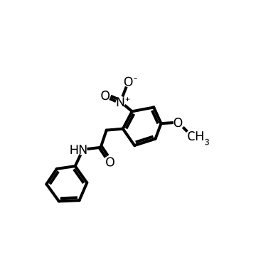 COc1ccc(CC(=O)Nc2ccccc2)c([N+](=O)[O-])c1